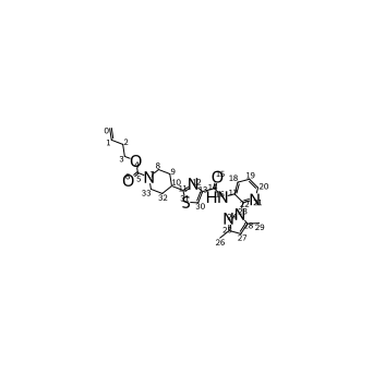 C=CCCOC(=O)N1CCC(c2nc(C(=O)Nc3cccnc3-n3nc(C)cc3C)cs2)CC1